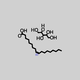 CCCCCCCC/C=C\CCCCCCCC(=O)O.OCC(O)C(O)C(O)CO